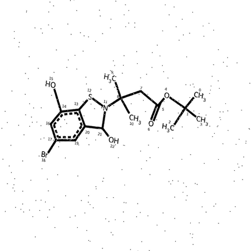 CC(C)(C)OC(=O)CC(C)(C)N1Sc2c(O)cc(Br)cc2C1O